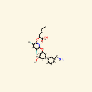 CCCCC(Oc1nc(Oc2cc(OC)cc(-c3cccc(CN)c3)c2)c(F)cc1F)C(=O)O